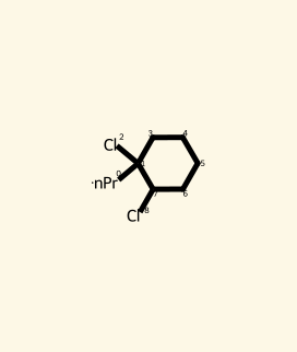 CC[CH]C1(Cl)CCCCC1Cl